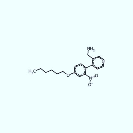 CCCCCCOc1ccc(-c2ccccc2CN)c([N+](=O)[O-])c1